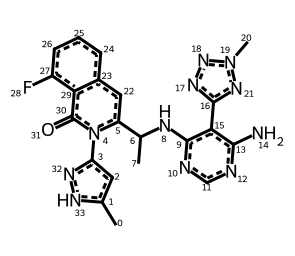 Cc1cc(-n2c(C(C)Nc3ncnc(N)c3-c3nnn(C)n3)cc3cccc(F)c3c2=O)n[nH]1